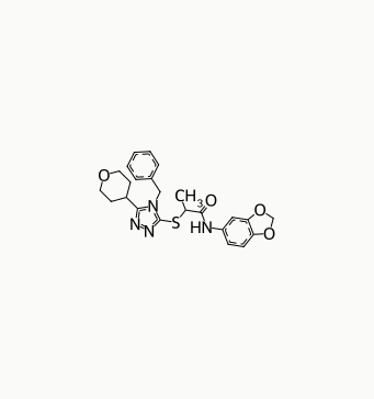 CC(Sc1nnc(C2CCOCC2)n1Cc1ccccc1)C(=O)Nc1ccc2c(c1)OCO2